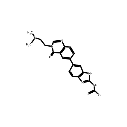 CCC(=O)Nc1nc2ccc(-c3ccc4ncn(CCN(C)C)c(=O)c4c3)cc2[nH]1